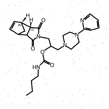 CCCCNC(=O)OC(CN1CCN(c2ccccn2)CC1)CN1C(=O)C2C3C=C[C@@H](C3)[C@@H]2C1=O